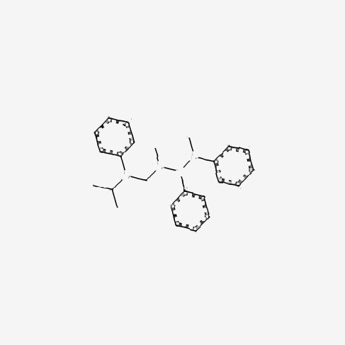 CC(C)N(CN(C)P(c1ccccc1)N(C)c1ccccc1)c1ccccc1